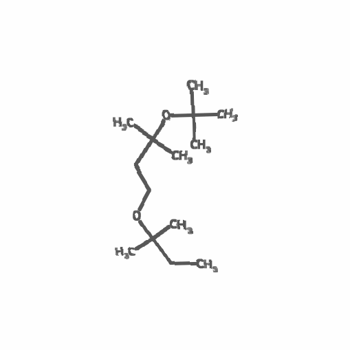 CCC(C)(C)OCCC(C)(C)OC(C)(C)C